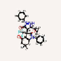 CC1(C)CC(=O)C2=C(C1)N(c1ccccc1)C(=O)C2(c1c(C2CC2)[nH]n(-c2ccccc2)c1=O)C(F)(F)F